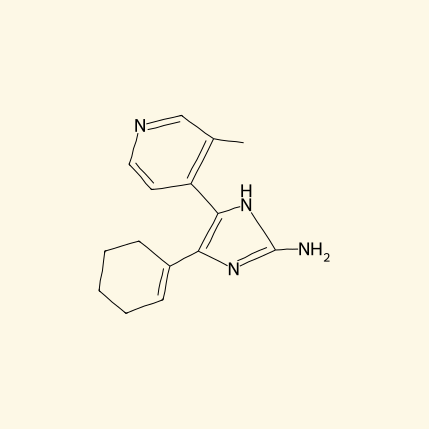 Cc1cnccc1-c1[nH]c(N)nc1C1=CCCCC1